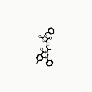 Cc1ccc2c(c1)N(c1ccccc1)CN(C(C)COC1SC(=O)N(Cc3ccccc3)C1=O)C2=O